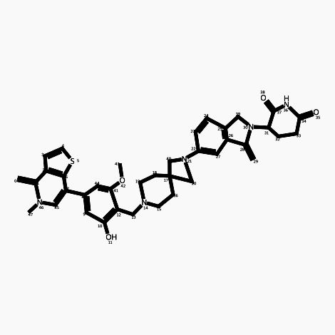 C=C1c2ccsc2C(c2cc(O)c(CN3CCC4(CC3)CN(c3ccc5c(c3)C(=C)N(C3CCC(=O)NC3=O)C5)C4)c(OC)c2)=CN1C